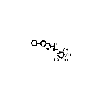 N#C/C(=C\c1ccc(N2CCCCC2)cc1)C(=O)NC[C@H]1OC(O)[C@H](O)[C@@H](O)[C@@H]1O